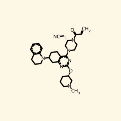 C=CC(=O)N1CCN(c2nc(O[C@@H]3CCCN(C)C3)nc3c2CCC(N2CCCc4ccccc42)C3)C[C@@H]1CC#N